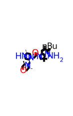 C=C1C(CCCC)=CC2=C(N1N)C(C)(C)CN2C(=O)CN1C[C@@H](C)NC[C@@H]1CN1[C@H](C)COC[C@H]1C